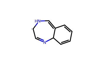 [C]1C=NC2C=CC=CC2=CN1